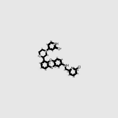 O=c1cc(N2CCOC(c3cccc4c3Oc3ccc(NCc5cccc(Cl)n5)cc3S4)C2)cc[nH]1